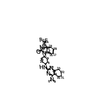 CN(C)c1nc(N[C@H]2CC[C@@H](N(C(N)=O)c3ccccc3OC(F)F)CC2)nc2c1CCCC2